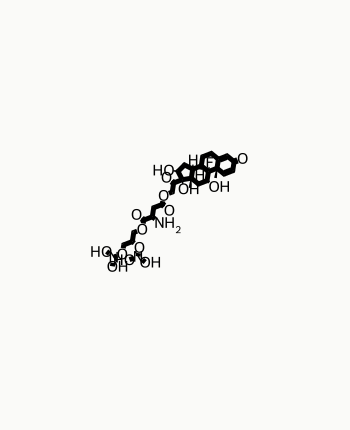 C[C@]12C=CC(=O)C=C1CC[C@H]1[C@@H]3C[C@@H](O)[C@](O)(C(=O)COC(=O)CC(N)C(=O)OCC(CON(O)O)ON(O)O)[C@@]3(C)C[C@H](O)[C@@]12F